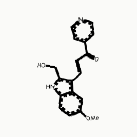 COc1ccc2[nH]c(CO)c(/C=C/C(=O)c3ccncc3)c2c1